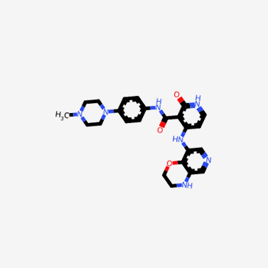 CN1CCN(c2ccc(NC(=O)c3c(Nc4cncc5c4OCCN5)cc[nH]c3=O)cc2)CC1